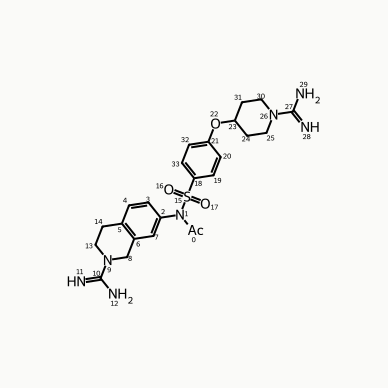 CC(=O)N(c1ccc2c(c1)CN(C(=N)N)CC2)S(=O)(=O)c1ccc(OC2CCN(C(=N)N)CC2)cc1